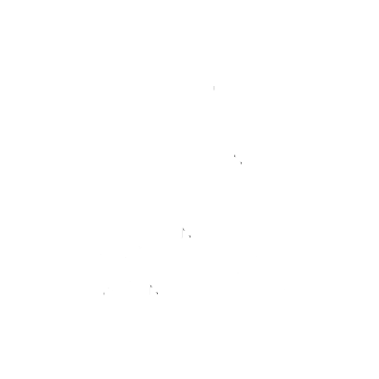 c1cc(-c2nccc3oc4ccccc4c23)cc(N(c2ccc3c(ccc4ccccc43)c2)c2cnc3oc4ccccc4c3c2)c1